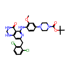 COc1cc(N2CCN(C(=O)OC(C)(C)C)CC2)ccc1Nc1nc(Cc2c(Cl)cccc2Cl)cc2c1C(=O)NCN2